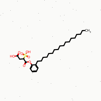 CCCCCCCCCCCCCCCCCCc1ccccc1OC(=O)C(CC(=O)O)S(=O)(=O)O